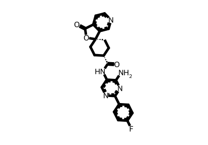 Nc1nc(-c2ccc(F)cc2)ncc1NC(=O)[C@H]1CC[C@]2(CC1)OC(=O)c1ccncc12